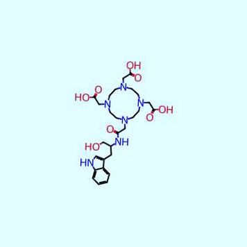 O=C(O)CN1CCN(CC(=O)O)CCN(CC(=O)NC(CO)Cc2c[nH]c3ccccc23)CCN(CC(=O)O)CC1